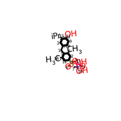 Cc1cc(S(=O)(=O)CP(=O)(O)O)cc(C)c1Cc1ccc(O)c(C(C)C)c1